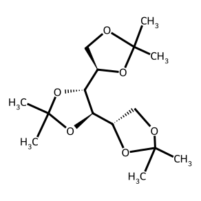 CC1(C)O[C@H]([C@@H]2COC(C)(C)O2)[C@@H]([C@H]2COC(C)(C)O2)O1